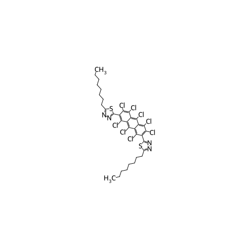 CCCCCCCCc1nnc(-c2c(Cl)c(Cl)c3c(Cl)c4c(Cl)c(Cl)c(-c5nnc(CCCCCCCC)s5)c(Cl)c4c(Cl)c3c2Cl)s1